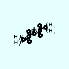 Cc1cc(C)cc(-n2c3ccccc3c3cc4c(cc32)c2ccccc2n4-c2ccc(-n3c4ccccc4c4cc5c(cc43)c3ccccc3n5-c3cc(C)cc(C)c3)c3nsnc23)c1